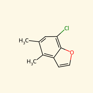 Cc1cc(Cl)c2occc2c1C